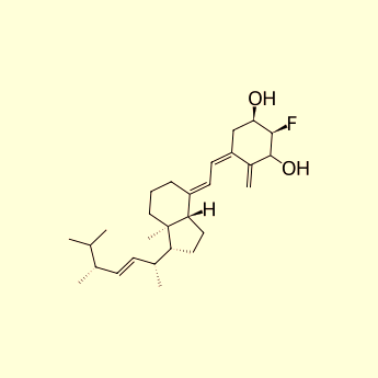 C=C1/C(=C\C=C2/CCC[C@]3(C)[C@@H]([C@H](C)/C=C/[C@H](C)C(C)C)CC[C@@H]23)C[C@@H](O)[C@@H](F)C1O